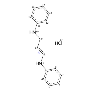 C(=C\Nc1ccccc1)/CNc1ccccc1.Cl